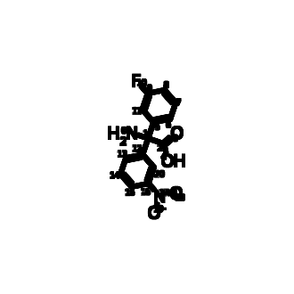 NC(C(=O)O)(c1cccc(F)c1)c1cccc([N+](=O)[O-])c1